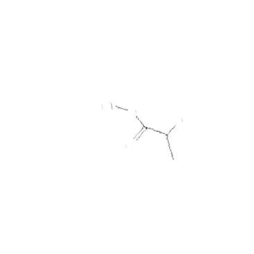 CC(C)OC(=O)C(C)[O]